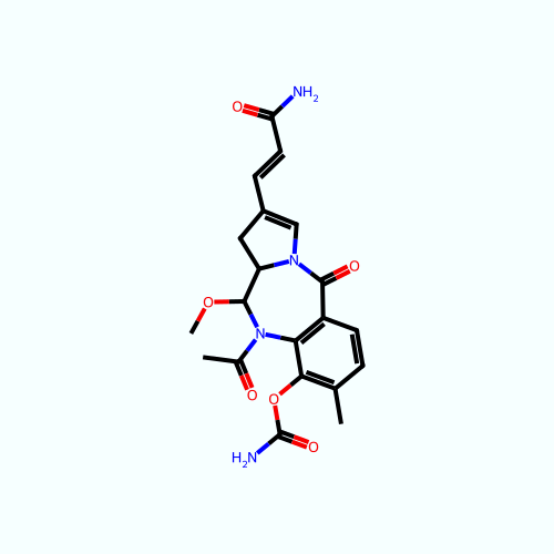 COC1C2CC(C=CC(N)=O)=CN2C(=O)c2ccc(C)c(OC(N)=O)c2N1C(C)=O